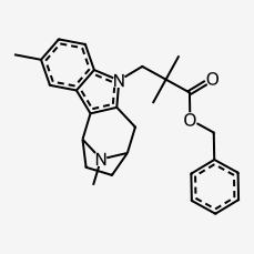 Cc1ccc2c(c1)c1c(n2CC(C)(C)C(=O)OCc2ccccc2)CC2CCC1N2C